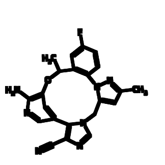 Cc1cc2n(n1)-c1ccc(F)cc1C(C)Oc1cc(cnc1N)-c1c(C#N)ncn1C2